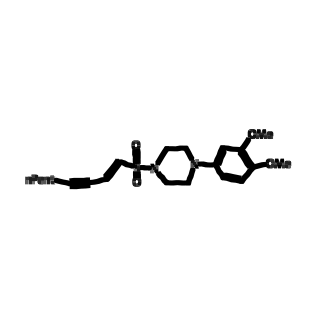 CCCCCC#C/C=C/S(=O)(=O)N1CCN(c2ccc(OC)c(OC)c2)CC1